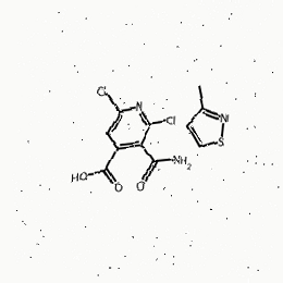 Cc1ccsn1.NC(=O)c1c(C(=O)O)cc(Cl)nc1Cl